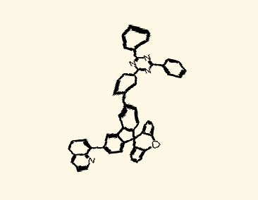 c1ccc(-c2nc(-c3ccccc3)nc(-c3cccc(-c4ccc5c(c4)-c4cc(-c6cccc7cccnc67)ccc4C54c5ccccc5Oc5ccccc54)c3)n2)cc1